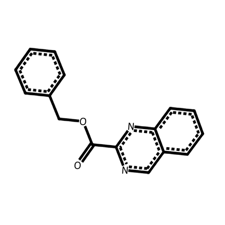 O=C(OCc1ccccc1)c1ncc2ccccc2n1